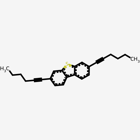 CCCCC#Cc1ccc2c(c1)sc1cc(C#CCCCC)ccc12